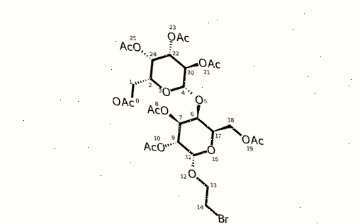 CC(=O)OC[C@H]1O[C@@H](O[C@@H]2[C@H](OC(C)=O)[C@@H](OC(C)=O)[C@@H](OCCBr)O[C@@H]2COC(C)=O)[C@H](OC(C)=O)[C@@H](OC(C)=O)[C@H]1OC(C)=O